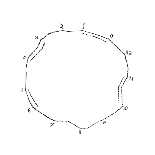 [C]1=CCC=CC=CCCCC=CC1